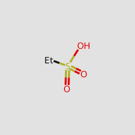 [CH2]CS(=O)(=O)O